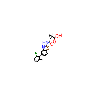 Cc1cccc(F)c1-c1ccc2sc(NC(=O)[C@H]3C[C@@]3(C)C(=O)O)nc2c1